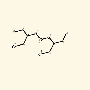 CCC(CCl)SOSC(CC)CCl